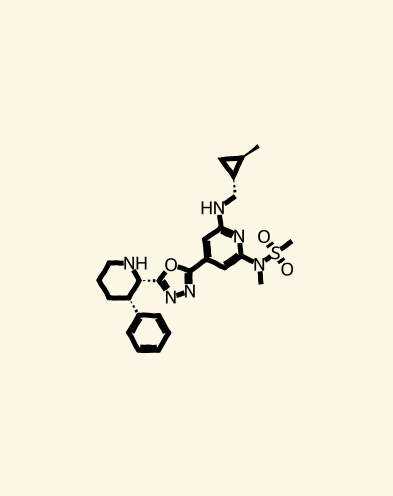 C[C@@H]1C[C@H]1CNc1cc(-c2nnc([C@H]3NCCC[C@H]3c3ccccc3)o2)cc(N(C)S(C)(=O)=O)n1